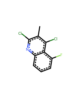 Cc1c(Cl)nc2cccc(F)c2c1Cl